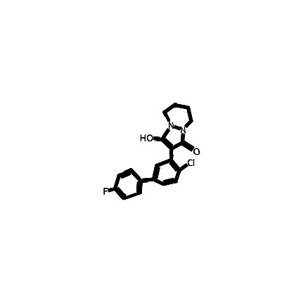 O=c1c(-c2cc(-c3ccc(F)cc3)ccc2Cl)c(O)n2n1CCCC2